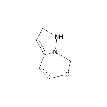 C1=CC2=CCNN2CO1